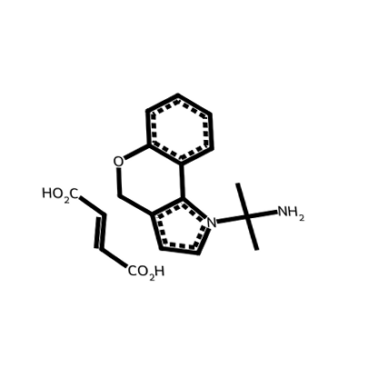 CC(C)(N)n1ccc2c1-c1ccccc1OC2.O=C(O)C=CC(=O)O